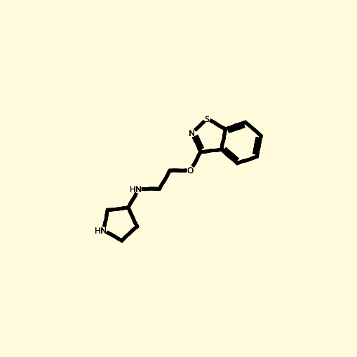 c1ccc2c(OCCNC3CCNC3)nsc2c1